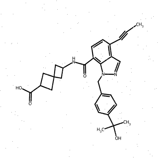 CC#Cc1ccc(C(=O)NC2CC3(C2)CC(C(=O)O)C3)c2c1cnn2Cc1ccc(C(C)(C)O)cc1